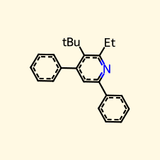 CCc1nc(-c2ccccc2)cc(-c2ccccc2)c1C(C)(C)C